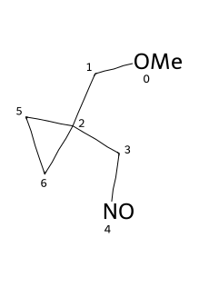 COCC1(CN=O)CC1